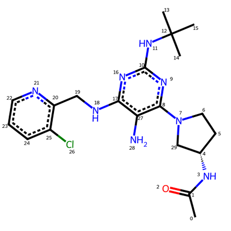 CC(=O)N[C@H]1CCN(c2nc(NC(C)(C)C)nc(NCc3ncccc3Cl)c2N)C1